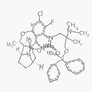 C[C@@H]1Oc2nc(Cl)c(F)c3c2c(nc(=O)n3CC(C)(CO[Si](c2ccccc2)(c2ccccc2)C(C)(C)C)N(C)C)N2C[C@H]3CC[C@@H]([C@@H]12)N3C(=O)OC(C)(C)C